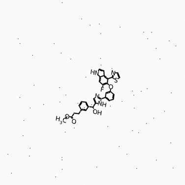 COC(=O)CCc1cccc(C(O)c2cnc(-c3cccc(Oc4c(F)cc5[nH]ccc5c4-c4nccs4)c3)[nH]2)c1